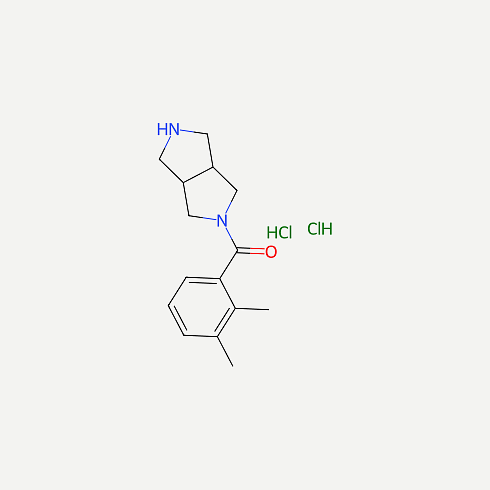 Cc1cccc(C(=O)N2CC3CNCC3C2)c1C.Cl.Cl